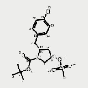 CC(C)(C)OC(=O)N1C[C@@H](OS(C)(=O)=O)C[C@@H]1Cc1ccc(Cl)cc1